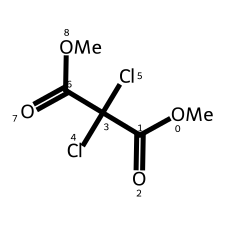 COC(=O)C(Cl)(Cl)C(=O)OC